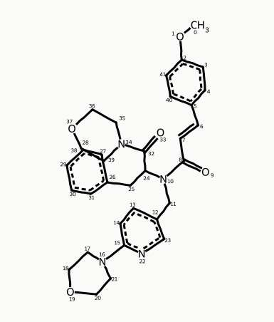 COc1ccc(C=CC(=O)N(Cc2ccc(N3CCOCC3)nc2)C(Cc2ccccc2)C(=O)N2CCOCC2)cc1